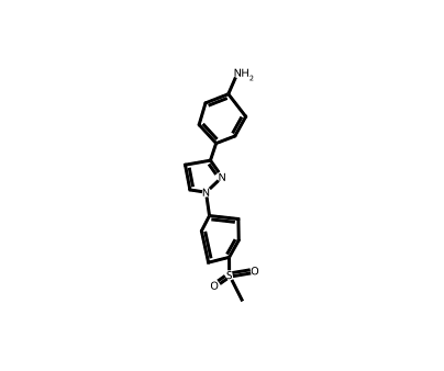 CS(=O)(=O)c1ccc(-n2ccc(-c3ccc(N)cc3)n2)cc1